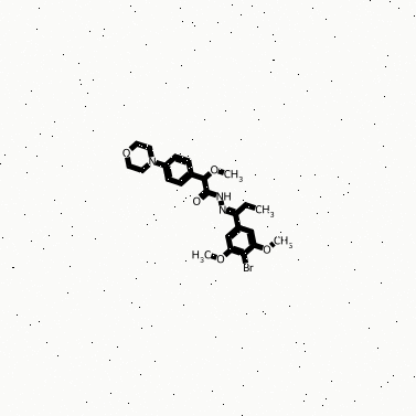 CC/C(=N\NC(=O)C(OC)c1ccc(N2CCOCC2)cc1)c1cc(OC)c(Br)c(OC)c1